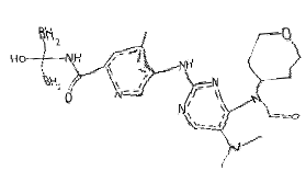 BC(B)(O)NC(=O)c1cc(C)c(Nc2ncc(N(C)C)c(N(C=O)C3CCOCC3)n2)cn1